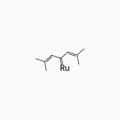 CC(C)=C[C](=[Ru])C=C(C)C